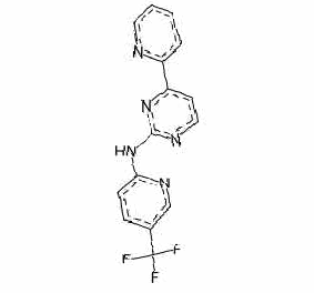 FC(F)(F)c1ccc(Nc2nccc(-c3ccccn3)n2)nc1